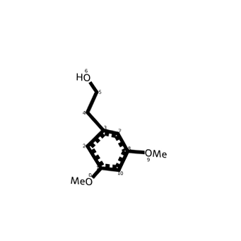 COc1cc(CCO)cc(OC)c1